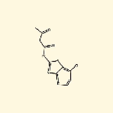 CC(=O)CC(=O)Nc1nc2cccc(Cl)c2s1